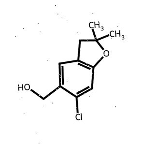 CC1(C)Cc2cc(CO)c(Cl)cc2O1